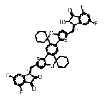 O=C1C(=O)c2c(F)cc(F)cc2/C1=C/c1cc2c(s1)-c1cc3c(cc1C1(CCCCC1)O2)-c1sc(/C=C2/c4cc(F)cc(F)c4C(=O)C2O)cc1OC31CCCCC1